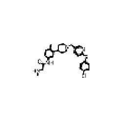 CNCC(=O)Nc1ccc(C)c(C2CCN(Cc3ccc(Sc4ccc(Cl)cc4)nc3)CC2)c1